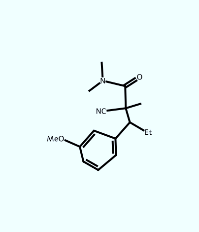 CCC(c1cccc(OC)c1)C(C)(C#N)C(=O)N(C)C